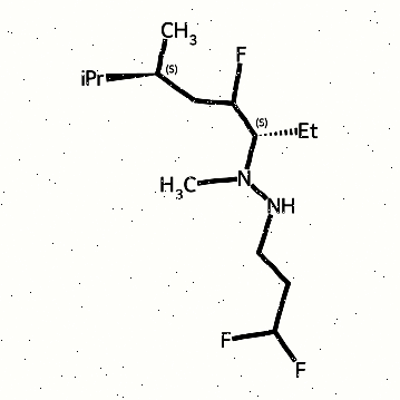 CC[C@@H](C(F)C[C@H](C)C(C)C)N(C)NCCC(F)F